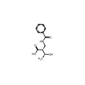 C[C@H](O)[C@H](CNC(=O)c1ccccc1)C(=O)O